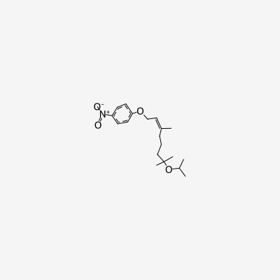 CC(=CCOc1ccc([N+](=O)[O-])cc1)CCCC(C)(C)OC(C)C